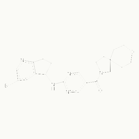 O=C(c1cnc(NC2CCc3ncc(Br)cc32)nc1)N1CCC2(CCOCC2)C1